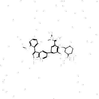 COc1ccccc1-c1c[nH]c2ncc(-c3cc(F)c(NC4CCCC(N)C4)c(C(=O)N(C)C)c3)cc12